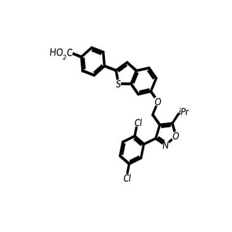 CC(C)c1onc(-c2cc(Cl)ccc2Cl)c1COc1ccc2cc(-c3ccc(C(=O)O)cc3)sc2c1